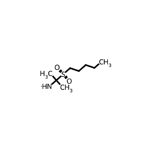 CCCCCS(=O)(=O)C(C)(C)[NH]